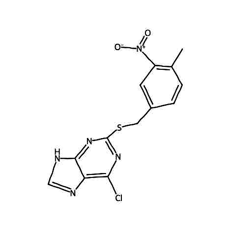 Cc1ccc(CSc2nc(Cl)c3nc[nH]c3n2)cc1[N+](=O)[O-]